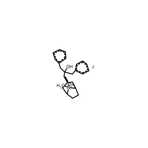 C[N+]1(C)C2CCC1CC(=CC(O)(Cc1ccccc1)Cc1ccccc1)C2.[I-]